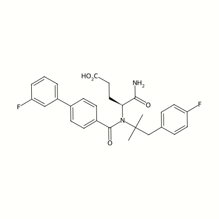 CC(C)(Cc1ccc(F)cc1)N(C(=O)c1ccc(-c2cccc(F)c2)cc1)[C@@H](CCC(=O)O)C(N)=O